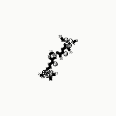 CCO[Si](CCCC(=O)C(C)CN(CC)CC(C)C(=O)CCC[Si](OCC)(OCC)OCC)(OCC)OCC